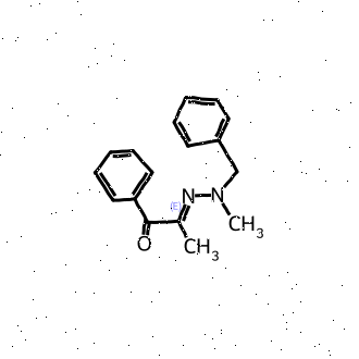 C/C(=N\N(C)Cc1ccccc1)C(=O)c1ccccc1